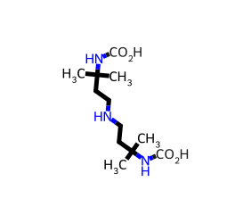 CC(C)(CCNCCC(C)(C)NC(=O)O)NC(=O)O